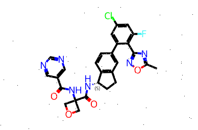 Cc1nc(-c2c(F)cc(Cl)cc2-c2ccc3c(c2)CC[C@@H]3NC(=O)C2(NC(=O)c3cncnc3)COC2)no1